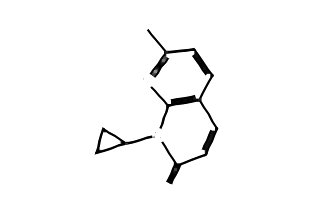 CC(C)c1ccc2ccc(=O)n(C3CC3)c2n1